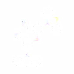 c1ccc2c(c1)Cc1ccccc1N2c1ccc2c(c1)Oc1cc(N3c4ccccc4Sc4ccccc43)ccc1C21c2cccnc2-c2ncccc21